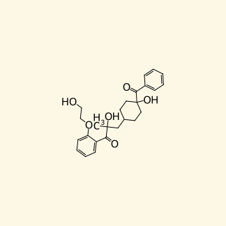 CC(O)(CC1CCC(O)(C(=O)c2ccccc2)CC1)C(=O)c1ccccc1OCCO